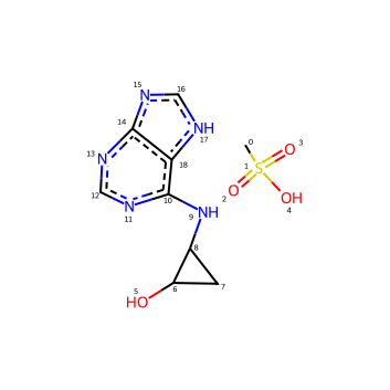 CS(=O)(=O)O.OC1CC1Nc1ncnc2nc[nH]c12